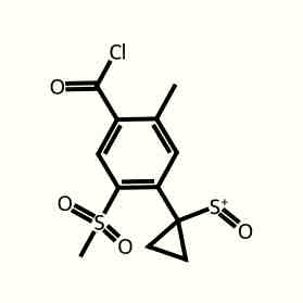 Cc1cc(C2([S+]=O)CC2)c(S(C)(=O)=O)cc1C(=O)Cl